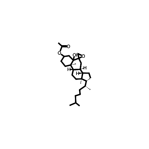 CC(=O)OC1CC[C@]2(C)[C@H]3CC[C@]4(C)[C@@H]([C@H](C)CCCC(C)C)CC[C@H]4[C@@H]3CC3(CO3)C2(O)C1